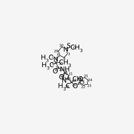 CSN1CCC(N(C)C(C)(C)C(=O)Nc2cc(C(C)(C)OC3CCCCO3)no2)CC1